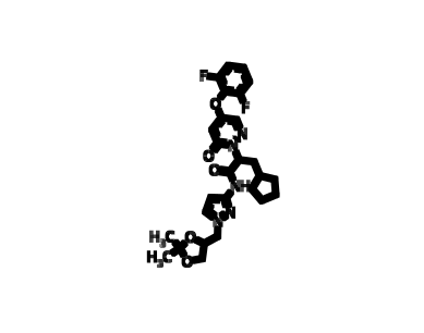 CC1(C)OCC(Cn2ccc(NC(=O)C(CC3CCCC3)n3ncc(Oc4c(F)cccc4F)cc3=O)n2)O1